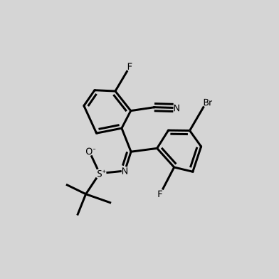 CC(C)(C)[S+]([O-])N=C(c1cc(Br)ccc1F)c1cccc(F)c1C#N